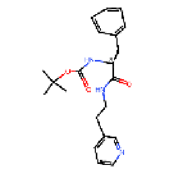 CC(C)(C)OC(=O)N[C@@H](Cc1ccccc1)C(=O)NCCc1cccnc1